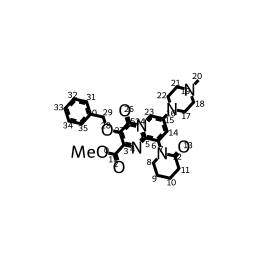 COC(=O)c1nc2c(N3CCCCC3=O)cc(N3CCN(C)CC3)cn2c(=O)c1OCc1ccccc1